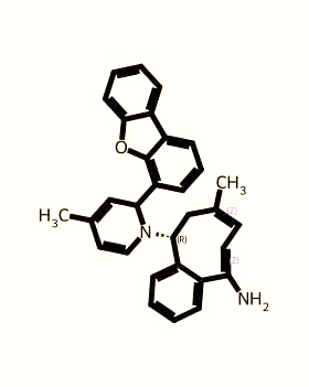 CC1=CC(c2cccc3c2oc2ccccc23)N([C@@H]2C/C(C)=C\C=C(/N)c3ccccc32)C=C1